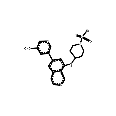 CCS(=O)(=O)N1CCC(Nc2cc(-c3cncc(C=O)c3)cc3ccncc23)CC1